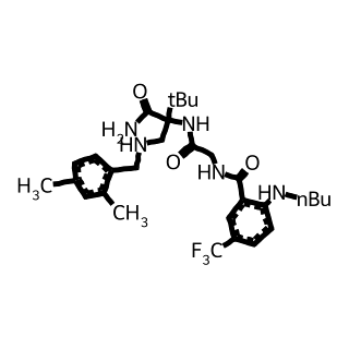 CCCCNc1ccc(C(F)(F)F)cc1C(=O)NCC(=O)NC(CNCc1ccc(C)cc1C)(C(N)=O)C(C)(C)C